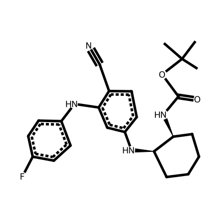 CC(C)(C)OC(=O)N[C@H]1CCCC[C@H]1Nc1ccc(C#N)c(Nc2ccc(F)cc2)c1